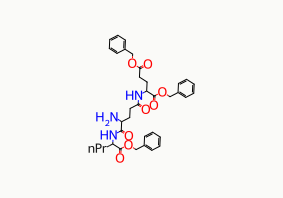 CCCC(NC(=O)C(N)CCC(=O)NC(CCC(=O)OCc1ccccc1)C(=O)OCc1ccccc1)C(=O)OCc1ccccc1